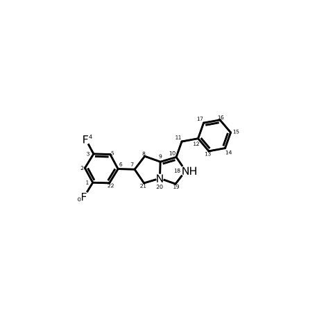 Fc1cc(F)cc(C2CC3=C(Cc4ccccc4)NCN3C2)c1